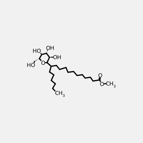 CCCCCCC(CCCCCCCCCCC(=O)OC)C1O[C@H](CO)[C@@H](O)[C@H](O)[C@H]1O